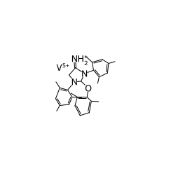 Cc1cc(C)c(N2CC(=[NH2+])N(c3c(C)cc(C)cc3C)C2Oc2c(C)cccc2C)c(C)c1.[V+5]